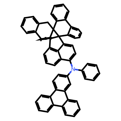 c1ccc(N(c2ccc3c4ccccc4c4ccccc4c3c2)c2ccc3c4c(cccc24)CC32c3ccccc3-c3ccccc3C23Cc2ccccc2-c2ccccc23)cc1